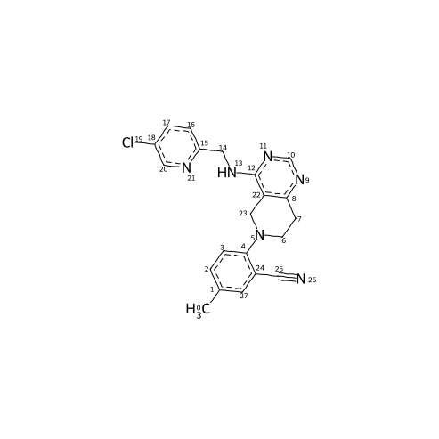 Cc1ccc(N2CCc3ncnc(NCc4ccc(Cl)cn4)c3C2)c(C#N)c1